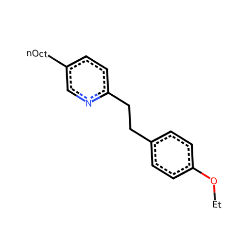 CCCCCCCCc1ccc(CCc2ccc(OCC)cc2)nc1